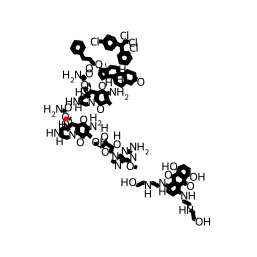 CO[C@@]12[C@H](COC(N)=O)C3=C(C(=O)C(C)=C(N)C3=O)N1C[C@@H]1N[C@@H]12.CO[C@@]12[C@H](COC(N)=O)C3=C(C(=O)C(C)=C(N)C3=O)N1C[C@@H]1N[C@@H]12.COc1nc(N)nc2c1ncn2[C@@H]1O[C@H](CO)[C@@H](O)[C@@H]1O.C[C@]12CC[C@H]3[C@@H](CCC4=CC(=O)CC[C@@H]43)[C@@H]1CC[C@@H]2OC(=O)CCc1ccccc1.Clc1ccc(C(c2ccccc2Cl)C(Cl)Cl)cc1.O=C1c2c(O)ccc(O)c2C(=O)c2c(NCCNCCO)ccc(NCCNCCO)c21